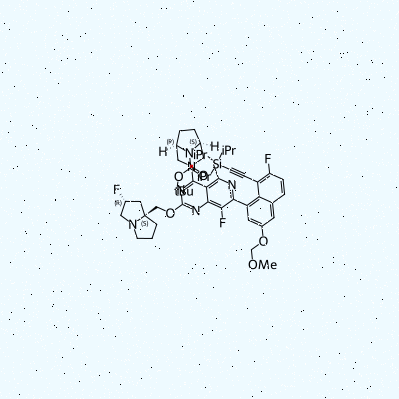 COCOc1cc(-c2nc(C)c3c(N4C[C@H]5CC[C@@H](C4)N5C(=O)OC(C)(C)C)nc(OC[C@@]45CCCN4C[C@H](F)C5)nc3c2F)c2c(C#C[Si](C(C)C)(C(C)C)C(C)C)c(F)ccc2c1